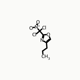 CCCc1coc(C(Cl)(Cl)[N+](=O)[O-])n1